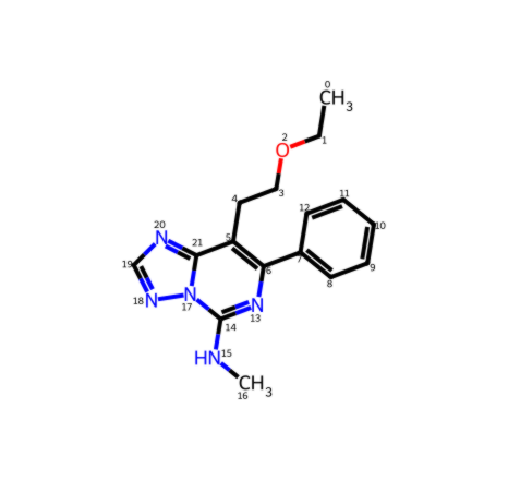 CCOCCc1c(-c2ccccc2)nc(NC)n2ncnc12